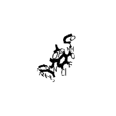 Cc1nc(C(C)(O)c2cc(Cl)c(F)c(C(=O)NC[C@H]3CCCO3)c2OC(C)C)n2ccnc(N)c12